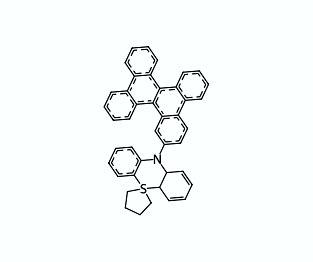 C1=CC2C(C=C1)S1(CCCC1)c1ccccc1N2c1ccc2c3ccccc3c3c4ccccc4c4ccccc4c3c2c1